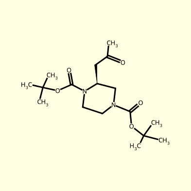 CC(=O)C[C@H]1CN(C(=O)OC(C)(C)C)CCN1C(=O)OC(C)(C)C